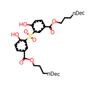 CCCCCCCCCCCCCOC(=O)c1ccc(O)c(S(=O)(=O)c2cc(C(=O)OCCCCCCCCCCCCC)ccc2O)c1